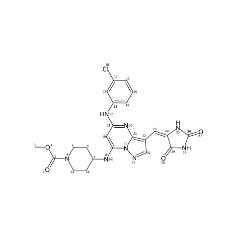 COC(=O)N1CCC(Nc2cc(Nc3cccc(Cl)c3)nc3c(C=C4NC(=O)NC4=O)cnn23)CC1